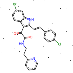 O=C(NCCc1ccccn1)C(=O)c1c(/C=C/c2ccc(Cl)cc2)[nH]c2cc(Br)ccc12